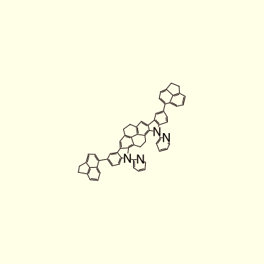 c1ccc(-n2c3ccc(-c4ccc5c6c(cccc46)CC5)cc3c3cc4c5c(c32)CCc2c-5c(cc3c5cc(-c6ccc7c8c(cccc68)CC7)ccc5n(-c5ccccn5)c23)CC4)nc1